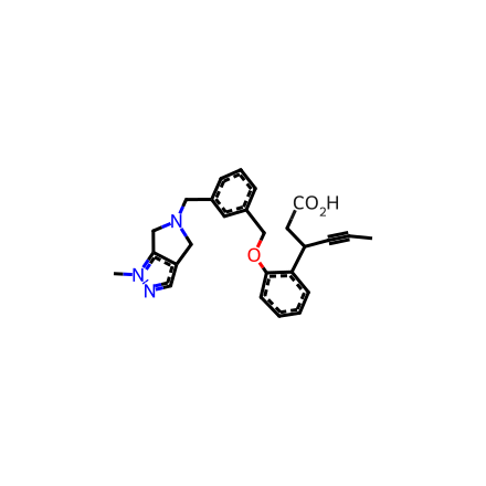 CC#CC(CC(=O)O)c1ccccc1OCc1cccc(CN2Cc3cnn(C)c3C2)c1